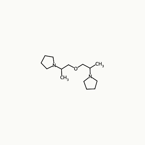 CC(COCC(C)N1CCCC1)N1CCCC1